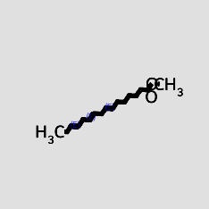 CC/C=C/C/C=C/C/C=C/CCCCCC(=O)OC